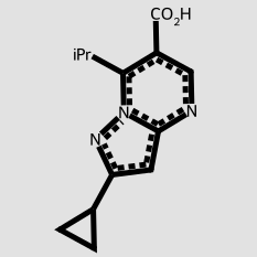 CC(C)c1c(C(=O)O)cnc2cc(C3CC3)nn12